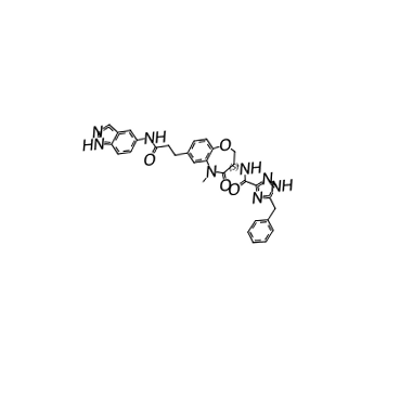 CN1C(=O)[C@@H](NC(=O)c2n[nH]c(Cc3ccccc3)n2)COc2ccc(CCC(=O)Nc3ccc4[nH]ncc4c3)cc21